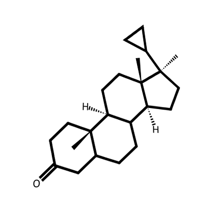 C[C@]12CCC(=O)CC1CCC1[C@@H]2CC[C@@]2(C)[C@H]1CC[C@]2(C)C1CC1